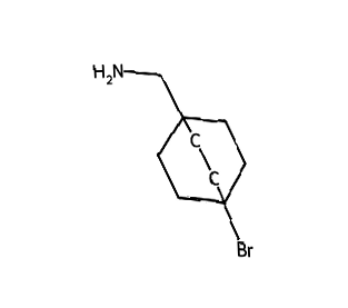 NCC12CCC(Br)(CC1)CC2